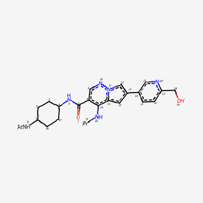 CC(=O)NC1CCC(NC(=O)c2cnn3cc(-c4ccc(CO)nc4)cc3c2NC(C)C)CC1